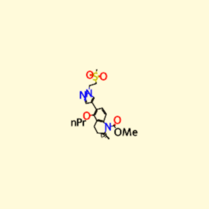 CCCOc1c(-c2cnn(CCS(C)(=O)=O)c2)ccc2c1CC[C@H](C)N2C(=O)OC